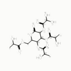 CC(O)C(=O)OCC1OC(=O)C(OC(=O)C(O)O)C(OC(=O)C(C)O)C1OC(=O)C(C)O